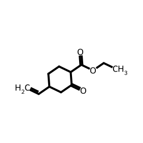 C=CC1CCC(C(=O)OCC)C(=O)C1